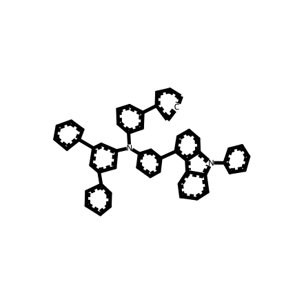 c1ccc(-c2cccc(N(c3cc(-c4ccccc4)cc(-c4ccccc4)c3)c3cccc(-c4cccc5c4c4ccccc4n5-c4ccccc4)c3)c2)cc1